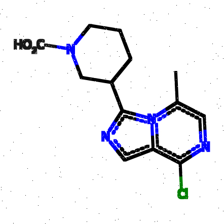 Cc1cnc(Cl)c2cnc(C3CCCN(C(=O)O)C3)n12